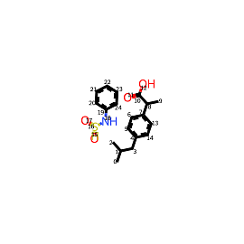 CC(C)Cc1ccc(C(C)C(=O)O)cc1.O=[SH](=O)Nc1ccccc1